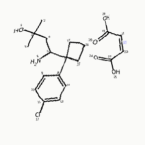 CC(C)(O)CC(N)C1(c2ccc(Cl)cc2)CCC1.O=C(O)/C=C\C(=O)O